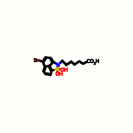 O=C(O)CCCCCCN1c2ccc(Br)c3cccc(c23)S1(O)O